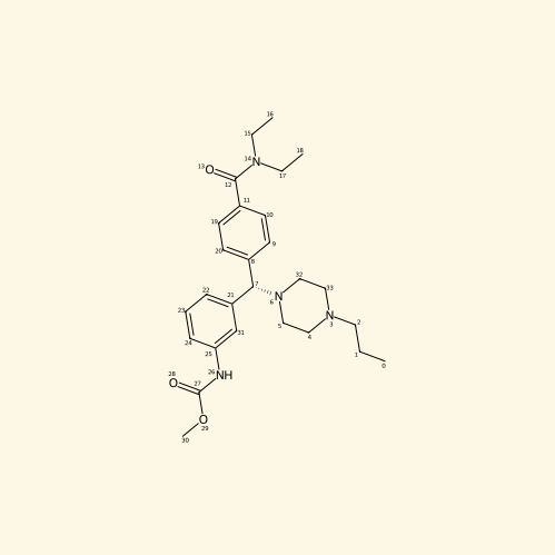 CCCN1CCN([C@@H](c2ccc(C(=O)N(CC)CC)cc2)c2cccc(NC(=O)OC)c2)CC1